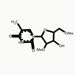 COCC1OC(n2cc(C)c(=O)[nH]c2=O)C(OC)C1O